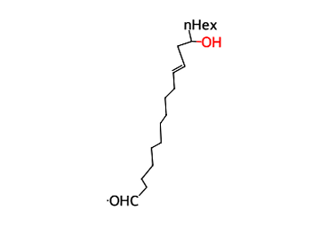 CCCCCCC(O)C/C=C/CCCCCCCCC[C]=O